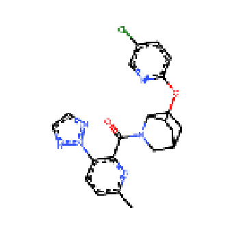 Cc1ccc(-n2nccn2)c(C(=O)N2CC3CCC2C(Oc2ccc(Cl)cn2)C3)n1